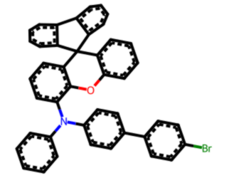 Brc1ccc(-c2ccc(N(c3ccccc3)c3cccc4c3Oc3ccccc3C43c4ccccc4-c4ccccc43)cc2)cc1